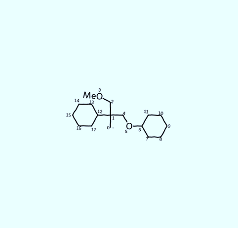 [CH2]C(COC)(COC1CCCCC1)C1CCCCC1